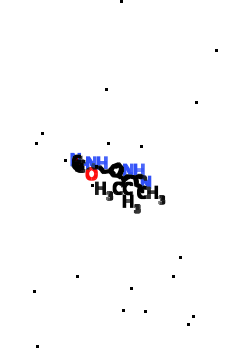 Cc1cc(-c2[nH]c3ccc(CCC(=O)NC4CN5CCC4CC5)cc3c2C(C)C)ccn1